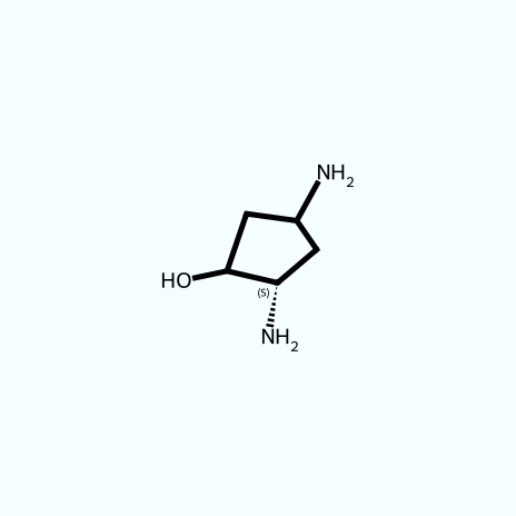 NC1CC(O)[C@@H](N)C1